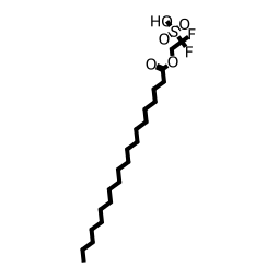 CCCCCCCCCCCCCCCCCCCC(=O)OCC(F)(F)S(=O)(=O)O